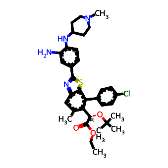 CCOC(=O)[C@@H](OC(C)(C)C)c1c(C)cc2nc(-c3ccc(NC4CCN(C)CC4)c(N)c3)sc2c1-c1ccc(Cl)cc1